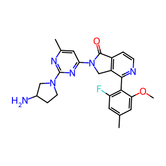 COc1cc(C)cc(F)c1-c1nccc2c1CN(c1cc(C)nc(N3CCC(N)C3)n1)C2=O